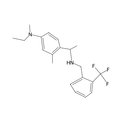 CCN(C)c1ccc(C(C)NCc2ccccc2C(F)(F)F)c(C)c1